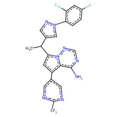 CC(c1cnn(-c2ccc(F)cc2F)c1)c1cc(-c2cnc(C(F)(F)F)nc2)c2c(N)ncnn12